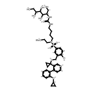 COCCN(CCCCNC(=O)NC(CO)C(O)C(O)C(O)CO)S(=O)(=O)c1ccc(Cl)c(COC2(c3cnccc3-c3ccccc3OC3CC3)CC2)c1